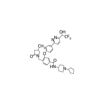 CC1CC(=O)N(Cc2ccc(C(=O)NC3CCN(C4CCCC4)CC3)cc2Oc2ccc(-c3ccc(C(O)C(F)(F)F)nn3)cc2)C1